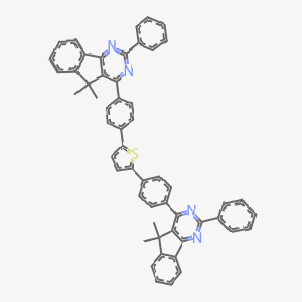 CC1(C)c2ccccc2-c2nc(-c3ccccc3)nc(-c3ccc(-c4ccc(-c5ccc(-c6nc(-c7ccccc7)nc7c6C(C)(C)c6ccccc6-7)cc5)s4)cc3)c21